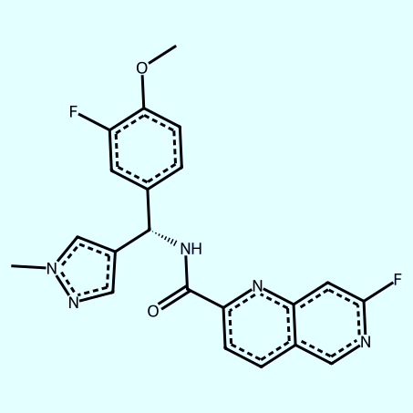 COc1ccc([C@H](NC(=O)c2ccc3cnc(F)cc3n2)c2cnn(C)c2)cc1F